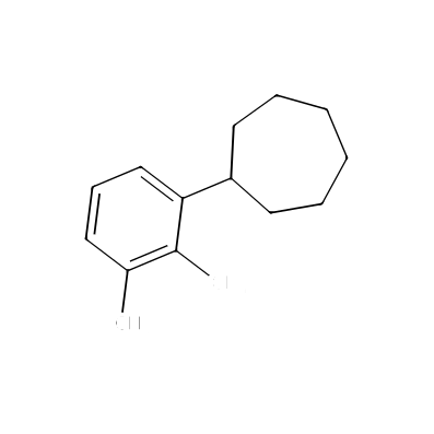 Cc1cccc(C2CCCCCC2)c1C